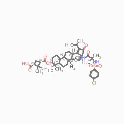 CC(C)C1=C2[C@H]3CC[C@@H]4[C@@]5(C)CC[C@H](OC(=O)[C@H]6C[C@@H](C(=O)O)C6(C)C)C(C)(C)[C@@H]5CC[C@@]4(C)[C@]3(C)CC[C@@]2(NC(=O)C(C)(C)NS(=O)(=O)c2ccc(Cl)cc2)CC1=O